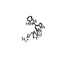 COCCNc1cc(-c2nc3ccccc3[nH]2)c2ccnc-2[nH]1